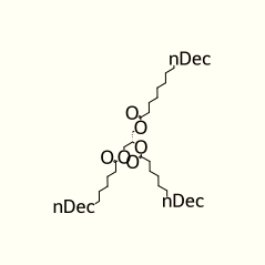 CCCCCCCCCCCCCCCCCC(=O)OC[C@@H](COC(=O)CCCCCCCCCCCCCCC)OC(=O)CCCCCCCCCCCCCCC